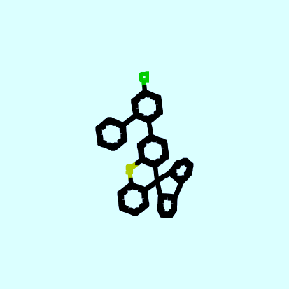 Clc1ccc(-c2ccc3c(c2)Sc2ccccc2C32c3ccccc3-c3ccccc32)c(-c2ccccc2)c1